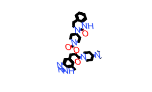 Cc1cc(CC(OC(=O)N2CCC(N3CCc4ccccc4NC3=O)CC2)C(=O)N2CCC(N(C)C)CC2)cc2nn[nH]c12